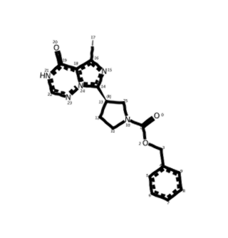 O=C(OCc1ccccc1)N1CC[C@@H](c2nc(I)c3c(=O)[nH]cnn23)C1